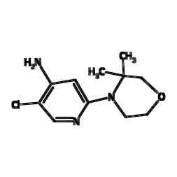 CC1(C)COCCN1c1cc(N)c(Cl)cn1